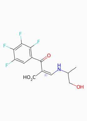 CC(CO)N/C=C(/C(=O)O)C(=O)c1cc(F)c(F)c(F)c1F